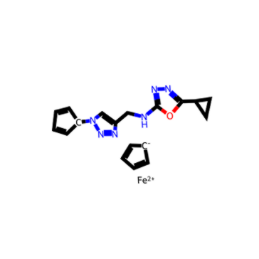 [Fe+2].c1cc[c-](-n2cc(CNc3nnc(C4CC4)o3)nn2)c1.c1cc[cH-]c1